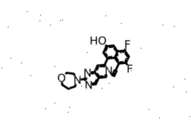 C#Cc1c(F)cc(F)c2cc(O)cc(-c3cc4nc(N5CCCOCC5)ncc4cn3)c12